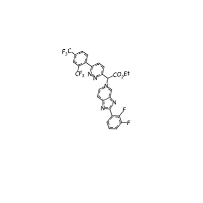 CCOC(=O)C(c1ccc(-c2ccc(C(F)(F)F)cc2C(F)(F)F)nn1)n1ccc2nc(-c3cccc(F)c3F)nc-2c1